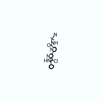 CC(C)(C#N)CNC(=O)c1cccc(-c2cnc3[nH]c(-c4ccccc4)c(Cl)c3c2)n1